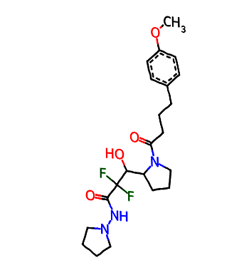 COc1ccc(CCCC(=O)N2CCCC2C(O)C(F)(F)C(=O)NN2CCCC2)cc1